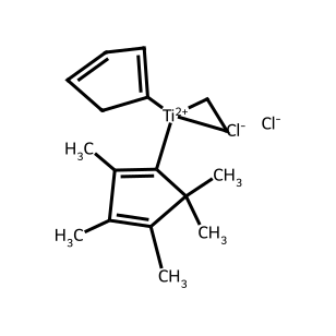 CC1=C(C)C(C)(C)[C]([Ti+2]2([C]3=CC=CC3)[CH2][CH2]2)=C1C.[Cl-].[Cl-]